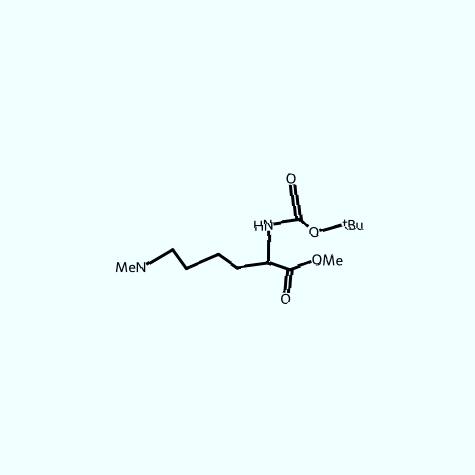 CNCCCCC(NC(=O)OC(C)(C)C)C(=O)OC